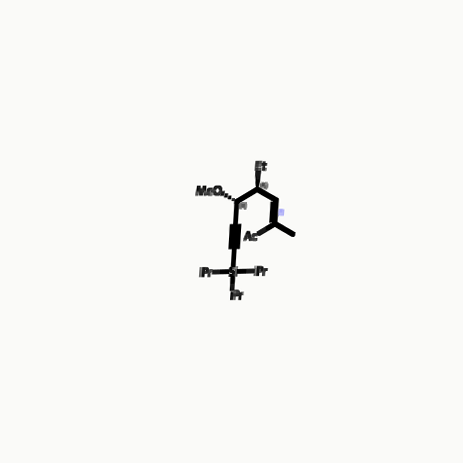 CC[C@@H](/C=C(/C)C(C)=O)[C@H](C#C[Si](C(C)C)(C(C)C)C(C)C)OC